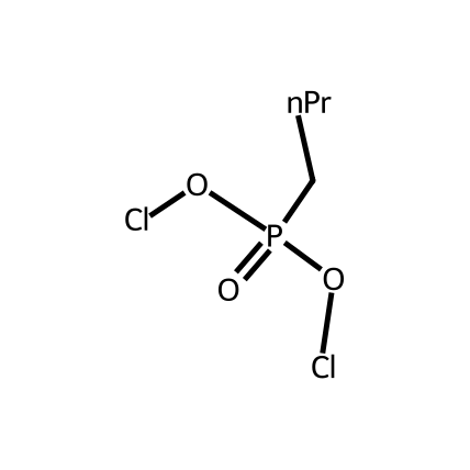 CCCCP(=O)(OCl)OCl